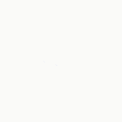 CCc1ccc2cnc(C(F)(F)F)n2c1